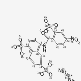 O=C(Nc1ccc(S(=O)(=O)[O-])c2ccc(S(=O)(=O)[O-])cc12)c1ccc([N+](=O)[O-])cc1S(=O)(=O)[O-].[Na+].[Na+].[Na+]